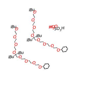 CCC(C)OCCOCCOCCOC(COCCOCCOCCOc1ccccc1)(C(C)CC)C(C)CC.CCC(C)OCCOCCOCCOC(COCCOCCOCCOc1ccccc1)(C(C)CC)C(C)CC.O.O=S(=O)(O)O